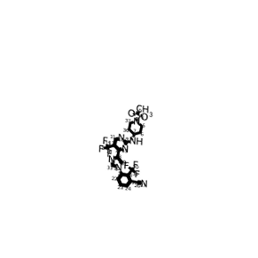 CS(=O)(=O)N1CCC(Nc2ncc(C(F)(F)F)c(-c3cn(-c4cccc(C#N)c4C(F)(F)F)cn3)n2)CC1